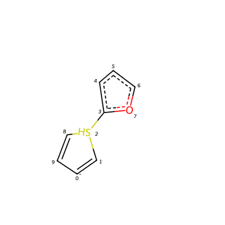 [C]1=C[SH](c2ccco2)C=C1